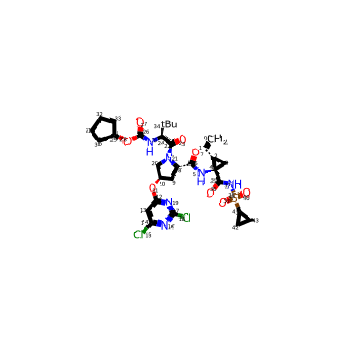 C=C[C@@H]1C[C@]1(NC(=O)[C@@H]1C[C@@H](Oc2cc(Cl)nc(Cl)n2)CN1C(=O)[C@@H](NC(=O)OC1CCCC1)C(C)(C)C)C(=O)NS(=O)(=O)C1CC1